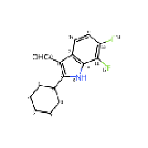 O=Cc1c(C2CCCCC2)[nH]c2c(F)c(F)ccc12